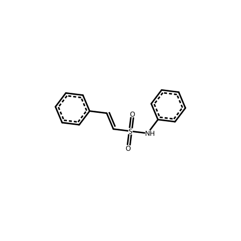 O=S(=O)(C=Cc1ccccc1)Nc1ccccc1